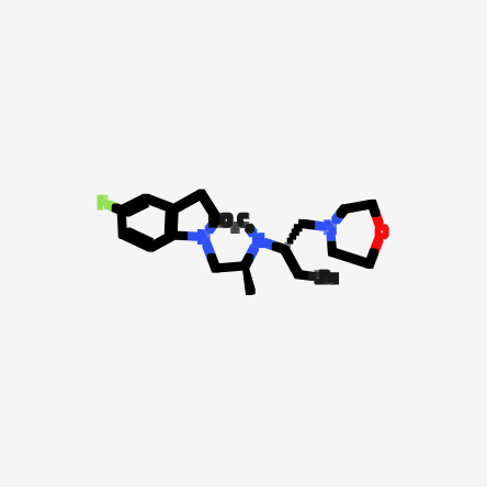 C[C@@H](CN1CCc2cc(F)ccc21)N(C(=O)O)[C@H](CN1CCOCC1)CC(C)(C)C